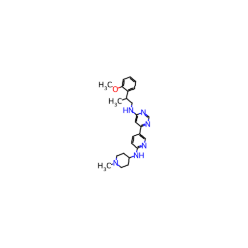 COc1ccccc1C(C)CNc1cc(-c2ccc(NC3CCN(C)CC3)nc2)ncn1